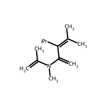 C=C(C)N(C)C(=C)C(=C(C)C)C(C)C